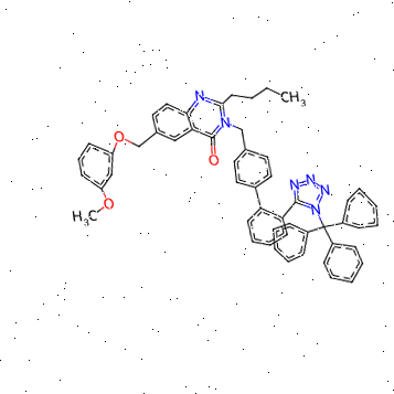 CCCCc1nc2ccc(COc3cccc(OC)c3)cc2c(=O)n1Cc1ccc(-c2ccccc2-c2nnnn2C(c2ccccc2)(c2ccccc2)c2ccccc2)cc1